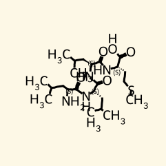 CSCC[C@H](NC(=O)[C@H](CC(C)C)NC(=O)[C@H](CC(C)C)NC(=O)[C@@H](N)CC(C)C)C(=O)O